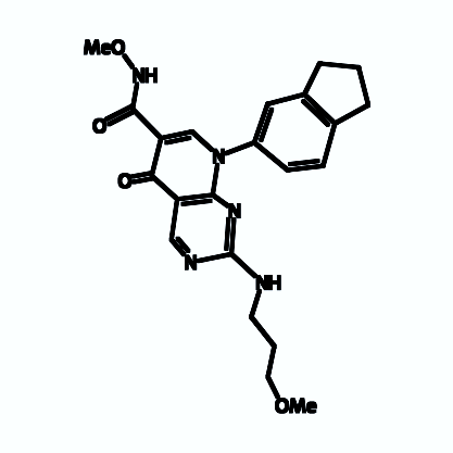 COCCCNc1ncc2c(=O)c(C(=O)NOC)cn(-c3ccc4c(c3)CCC4)c2n1